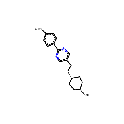 CCCCCCc1ccc(-c2ncc(CC[C@H]3CC[C@H](CCCC)CC3)cn2)cc1